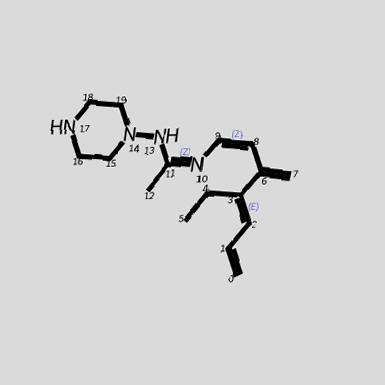 C=C/C=C(\CC)C(=C)/C=C\N=C(\C)NN1CCNCC1